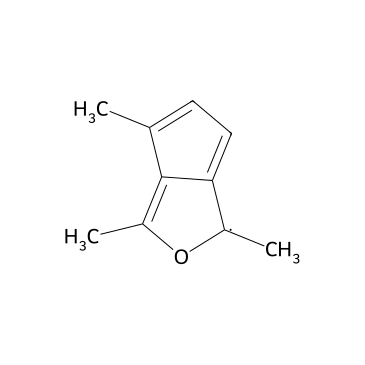 C[C]1OC(C)=C2C(C)=CC=C12